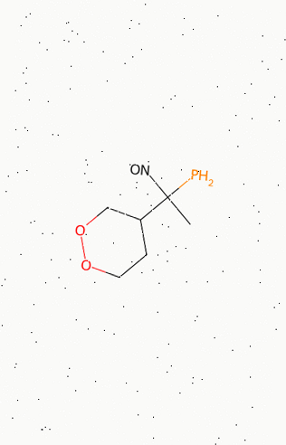 CC(P)(N=O)C1CCOOC1